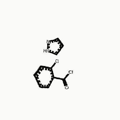 O=C(Cl)c1ccccc1Cl.c1cn[nH]c1